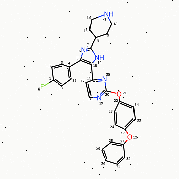 Fc1ccc(-c2nc(C3CCNCC3)[nH]c2-c2ccnc(Oc3ccc(Oc4ccccc4)cc3)n2)cc1